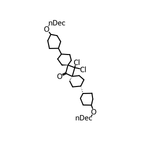 CCCCCCCCCCOC1CCC(C2CC[C@]3(CC2)C(=O)[C@@]2(CC[C@@H](C4CCC(OCCCCCCCCCC)CC4)CC2)C3(Cl)Cl)CC1